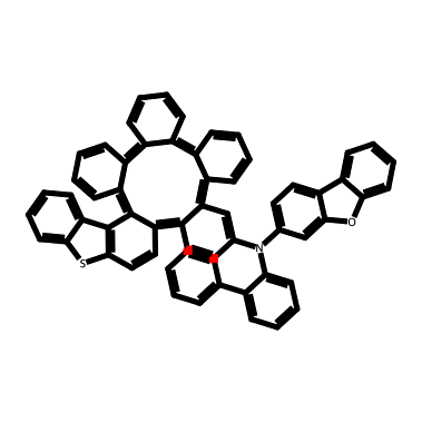 c1ccc(-c2ccccc2N(c2ccc3c(c2)oc2ccccc23)c2ccc3c(c2)c2ccccc2c2ccccc2c2ccccc2c2c3ccc3sc4ccccc4c32)cc1